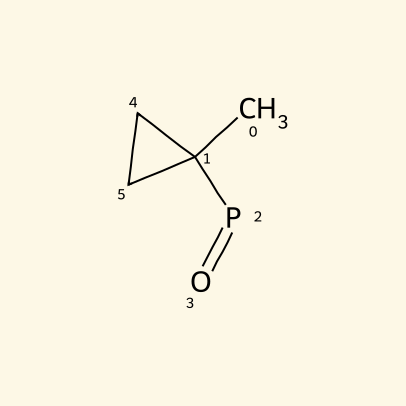 CC1(P=O)CC1